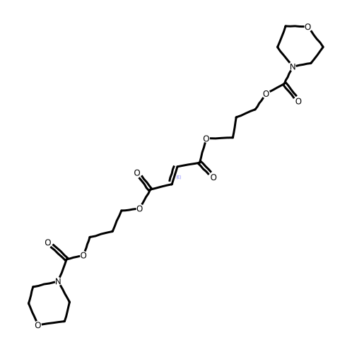 O=C(/C=C/C(=O)OCCCOC(=O)N1CCOCC1)OCCCOC(=O)N1CCOCC1